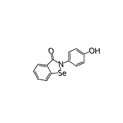 O=c1c2ccccc2[se]n1-c1ccc(O)cc1